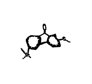 CSc1ccc2c(c1)C(=O)c1cc[c]([Sn]([CH3])([CH3])[CH3])cc1-2